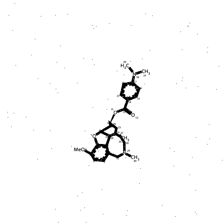 COc1ccc2c3c1OC1C[C@@H](OC(=O)c4ccc(N(C)C)cc4)CC(C)[C@@]31CCN(C)C2